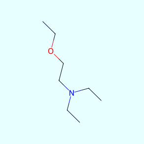 CCOCCN(CC)CC